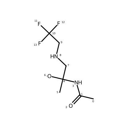 CC(=O)NC(C)([O])CNCC(F)(F)F